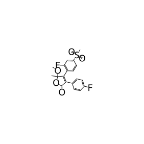 COC1(C)OC(=O)C(c2ccc(F)cc2)=C1c1ccc(S(C)(=O)=O)cc1F